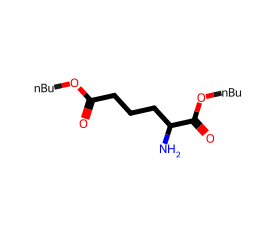 CCCCOC(=O)CCCC(N)C(=O)OCCCC